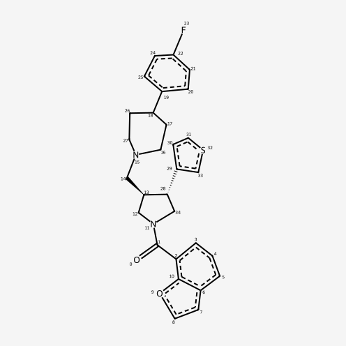 O=C(c1cccc2ccoc12)N1C[C@@H](CN2CCC(c3ccc(F)cc3)CC2)[C@H](c2ccsc2)C1